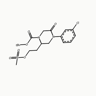 CC(C)(C)OC(=O)N1CC(=O)N(c2cccc(Cl)c2)CC1CCOS(C)(=O)=O